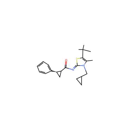 Cc1c(C(C)(C)C)s/c(=N\C(=O)C2C[C@H]2c2ccccc2)n1CC1CC1